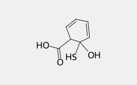 O=C(O)C1C=CC=CC1(O)S